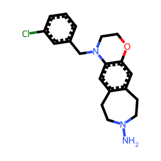 NN1CCc2cc3c(cc2CC1)N(Cc1cccc(Cl)c1)CCO3